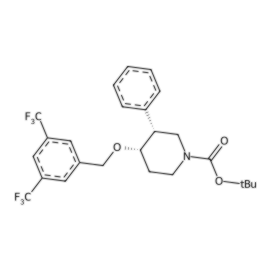 CC(C)(C)OC(=O)N1CC[C@H](OCc2cc(C(F)(F)F)cc(C(F)(F)F)c2)[C@H](c2ccccc2)C1